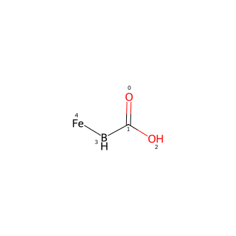 O=C(O)[BH][Fe]